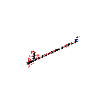 CC(=O)Cn1cc(COCCOCCOCCOCCOCCCCCOCCOCCOCCOCCOCCOCCN(C[C@H](O)[C@@H](O)[C@H](O)[C@H](O)CO)C[C@H](O)[C@@H](O)[C@H](O)[C@H](O)CO)nn1